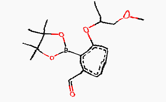 COCC(C)Oc1cccc(C=O)c1B1OC(C)(C)C(C)(C)O1